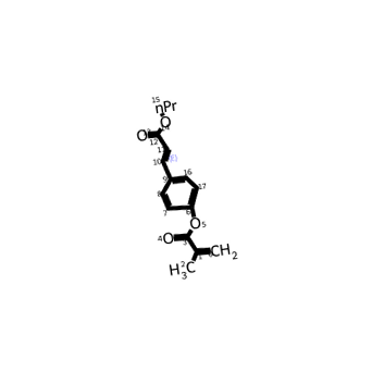 C=C(C)C(=O)Oc1ccc(/C=C/C(=O)OCCC)cc1